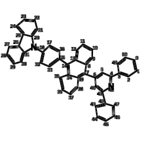 c1ccc(-c2cc(-c3c4ccccc4c(-c4ccc(-n5c6ccccc6c6ccccc65)cc4)c4ccccc34)cc(-c3ccccc3)n2)cc1